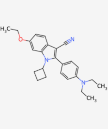 CCOc1ccc2c(C#N)c(-c3ccc(N(CC)CC)cc3)n(C3CCC3)c2c1